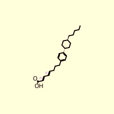 CCCCC[C@H]1CC[C@H](c2ccc(CCC/C=C/C=C/C(=O)O)cc2)CC1